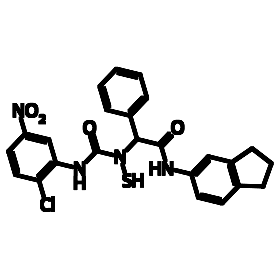 O=C(Nc1ccc2c(c1)CCC2)C(c1ccccc1)N(S)C(=O)Nc1cc([N+](=O)[O-])ccc1Cl